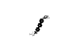 CBOc1ccc(-c2ccc(-c3ccc(OBC)cc3)cc2)cc1